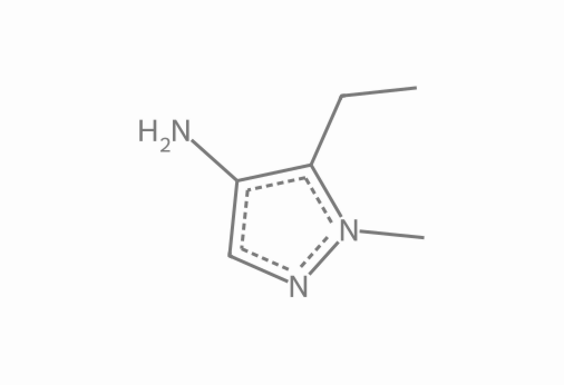 CCc1c(N)cnn1C